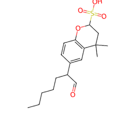 CCCCCC(C=O)c1ccc2c(c1)C(C)(C)CC(S(=O)(=O)O)O2